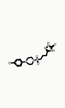 O=c1[nH]nc(CCCS(=O)(=O)N2CCN(c3ccc(Cl)cc3)CC2)[nH]1